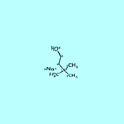 C[N+](C)(C)CCO.[Na+]